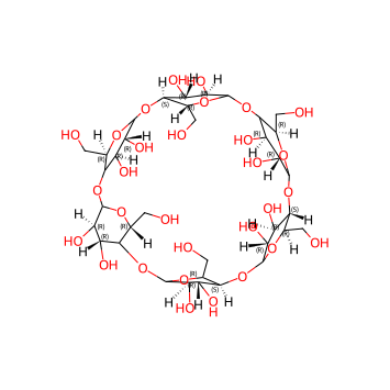 OCC1OC2OC3[C@@H](CO)OC(OC4[C@@H](CO)OC(O[C@H]5[C@H](O)[C@@H](O)C(OC6[C@@H](CO)OC(O[C@H]7[C@H](O)[C@@H](O)C(O[C@H]1[C@H](O)[C@H]2O)O[C@@H]7CO)[C@H](O)[C@H]6O)O[C@@H]5CO)[C@H](O)[C@H]4O)[C@H](O)[C@H]3O